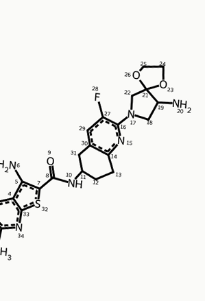 Cc1ccc2c(N)c(C(=O)NC3CCc4nc(N5CC(N)C6(C5)OCCO6)c(F)cc4C3)sc2n1